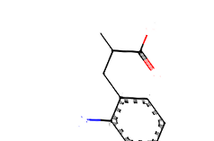 CC(Cc1ccccc1N)C(=O)O